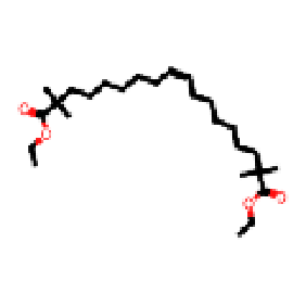 CCOC(=O)C(C)(C)CCCCCC/C=C\CCCCCCC(C)(C)C(=O)OCC